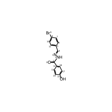 O=C(N/N=C/c1ccc(Br)cc1)c1ccc(O)cc1